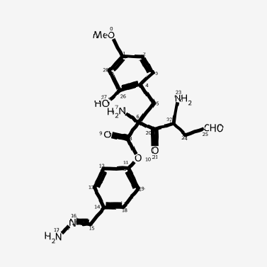 COc1ccc(CC(N)(C(=O)Oc2ccc(C=NN)cc2)C(=O)C(N)CC=O)c(O)c1